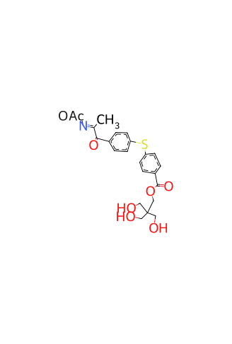 CC(=O)O/N=C(\C)C(=O)c1ccc(Sc2ccc(C(=O)OCC(CO)(CO)CO)cc2)cc1